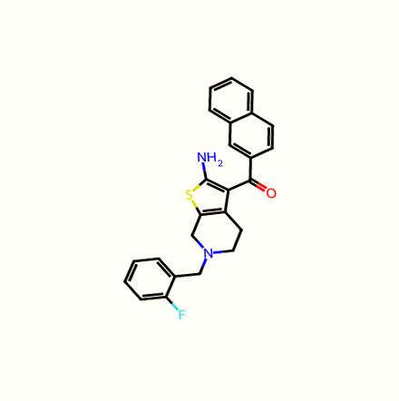 Nc1sc2c(c1C(=O)c1ccc3ccccc3c1)CCN(Cc1ccccc1F)C2